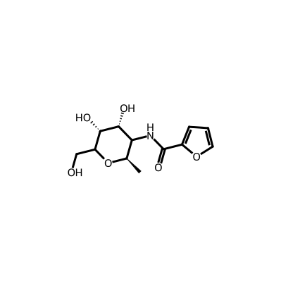 C[C@H]1OC(CO)[C@H](O)[C@H](O)C1NC(=O)c1ccco1